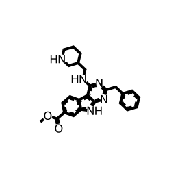 COC(=O)c1ccc2c(c1)[nH]c1nc(Cc3ccccc3)nc(NCC3CCCNC3)c12